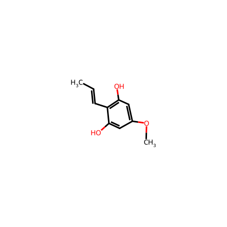 CC=Cc1c(O)cc(OC)cc1O